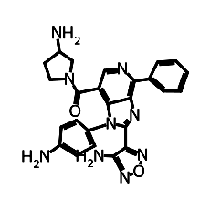 Nc1ccc(-n2c(-c3nonc3N)nc3c(-c4ccccc4)ncc(C(=O)N4CCC(N)C4)c32)cc1